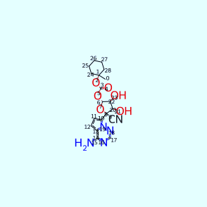 CC1(OC(=O)O[C@H]2O[C@@](C#N)(c3ccc4c(N)ncnn34)[C@H](O)[C@@H]2O)CCCCC1